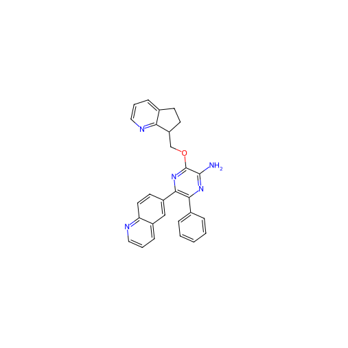 Nc1nc(-c2ccccc2)c(-c2ccc3ncccc3c2)nc1OCC1CCc2cccnc21